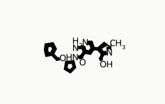 Cn1cc(-c2cnc(N)c(C(=O)N[C@H]3CCC[C@@H]3OCc3ccccc3)c2)c(CO)n1